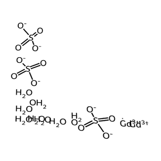 O.O.O.O.O.O.O.O.O=S(=O)([O-])[O-].O=S(=O)([O-])[O-].O=S(=O)([O-])[O-].[Gd+3].[Gd+3]